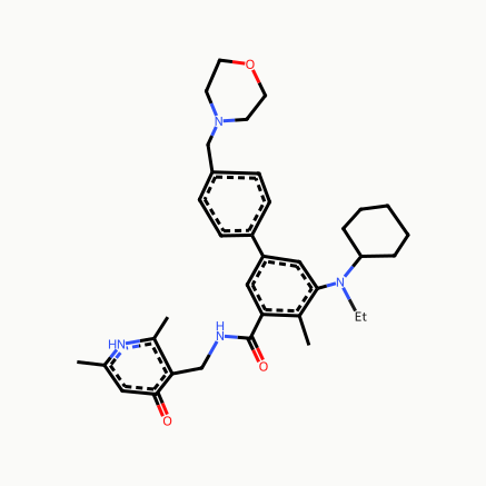 CCN(c1cc(-c2ccc(CN3CCOCC3)cc2)cc(C(=O)NCc2c(C)[nH]c(C)cc2=O)c1C)C1CCCCC1